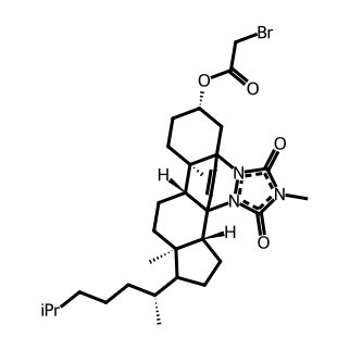 CC(C)CCC[C@@H](C)C1CC[C@H]2C34C=CC5(C[C@@H](OC(=O)CBr)CC[C@]5(C)[C@H]3CC[C@]12C)n1c(=O)n(C)c(=O)n14